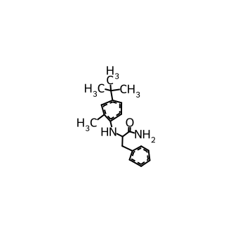 Cc1cc(C(C)(C)C)ccc1NC(Cc1ccccc1)C(N)=O